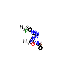 Cc1ccc(-n2cc3c(N4CCN(C)C(C(=O)NCc5csc6ccccc56)C4)ncnc3n2)cc1F